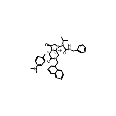 CC(C)N(C(=O)NCc1ccccc1)N1CC(=O)N2[C@@H](Cc3ccc(N(C)C)cc3)C(=O)N(Cc3cccc4ccccc34)C[C@@H]21